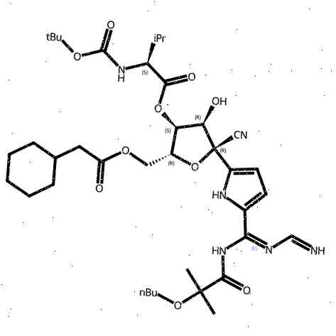 CCCCOC(C)(C)C(=O)N/C(=N/C=N)c1ccc([C@]2(C#N)O[C@H](COC(=O)CC3CCCCC3)[C@@H](OC(=O)[C@@H](NC(=O)OC(C)(C)C)C(C)C)[C@H]2O)[nH]1